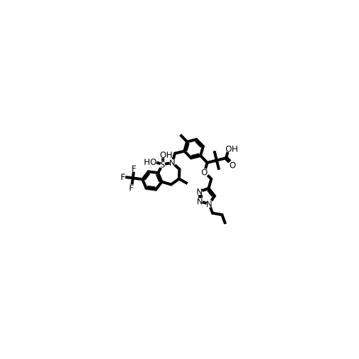 CCCn1cc(COC(c2ccc(C)c(CN3CC(C)Cc4ccc(C(F)(F)F)cc4S3(O)O)c2)C(C)(C)C(=O)O)nn1